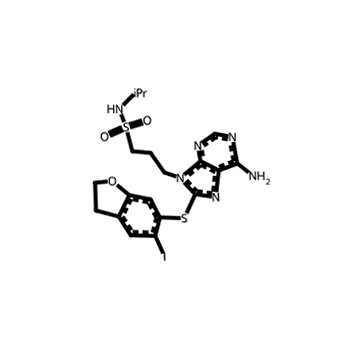 CC(C)NS(=O)(=O)CCCn1c(Sc2cc3c(cc2I)CCO3)nc2c(N)ncnc21